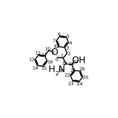 CC(Cc1ccccc1OCc1ccccc1)C(N)C(O)c1ccccc1